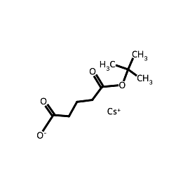 CC(C)(C)OC(=O)CCCC(=O)[O-].[Cs+]